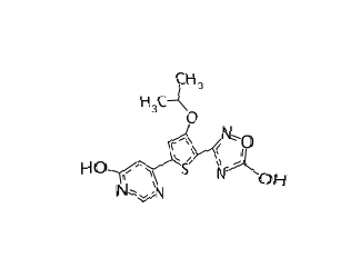 CC(C)Oc1cc(-c2cc(O)ncn2)sc1-c1noc(O)n1